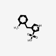 Cc1ccccc1Cc1c[nH]cc1S(=O)(=O)O